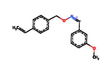 C=Cc1ccc(CO/N=[C]\c2cccc(OC)c2)cc1